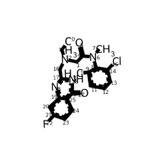 CCN(CC(=O)N(C)c1c(C)cccc1Cl)Cc1nc2cc(F)ccc2c(=O)[nH]1